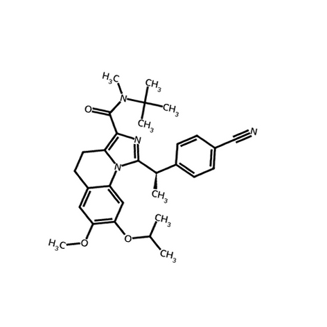 COc1cc2c(cc1OC(C)C)-n1c([C@H](C)c3ccc(C#N)cc3)nc(C(=O)N(C)C(C)(C)C)c1CC2